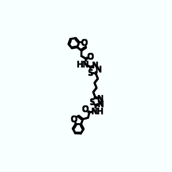 O=C(Cc1coc2ccccc12)Nc1nnc(CCCCc2nnc(NC(=O)Cc3coc4ccccc34)s2)s1